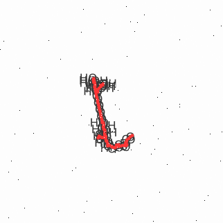 CCOC(=O)CCC(=O)c1cc2c(F)c(OCCCOc3c(OC)cc4c(c3F)CN(C(=O)CCC(=O)O[C@@H](C)CNC(=O)CC[C@H](NC(=O)CCN3C(=O)C=CC3=O)C(=O)NCC(=O)NCC(=O)NCC(=O)NCC(=O)NCCOCCOCCOCCOCCOCCOCCOCCOCCC(=O)N[C@@H](CCC(=O)NC[C@H](O)[C@@H](O)[C@H](O)[C@H](O)CO)C(=O)NC[C@H](O)[C@@H](O)[C@H](O)[C@H](O)CO)C4)c(OC)cc2s1